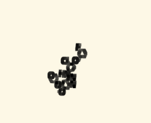 COc1cc2ncnc(Nc3ccc(OCc4cccc(F)c4)c(Cl)c3)c2cc1OC1CCOCC1